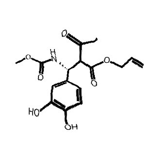 C=CCOC(=O)C(C(C)=O)[C@@H](NC(=O)OC)c1ccc(O)c(O)c1